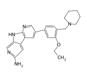 CCOc1cc(-c2cnc3[nH]c4cnc(N)cc4c3c2)ccc1CN1CCCCC1